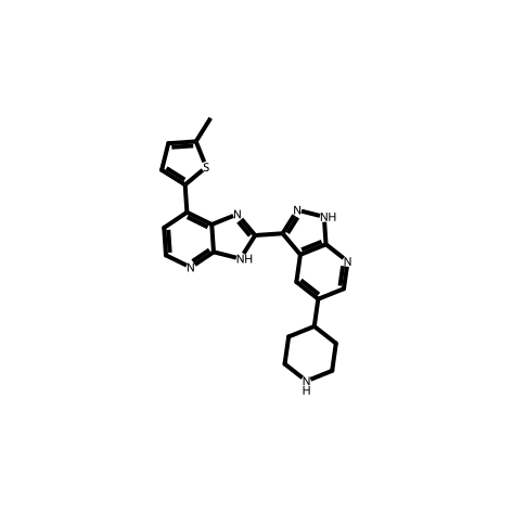 Cc1ccc(-c2ccnc3[nH]c(-c4n[nH]c5ncc(C6CCNCC6)cc45)nc23)s1